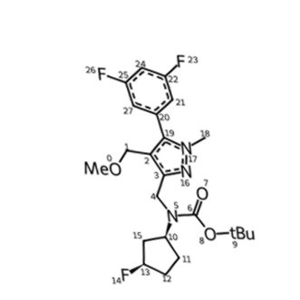 COCc1c(CN(C(=O)OC(C)(C)C)[C@H]2CC[C@@H](F)C2)nn(C)c1-c1cc(F)cc(F)c1